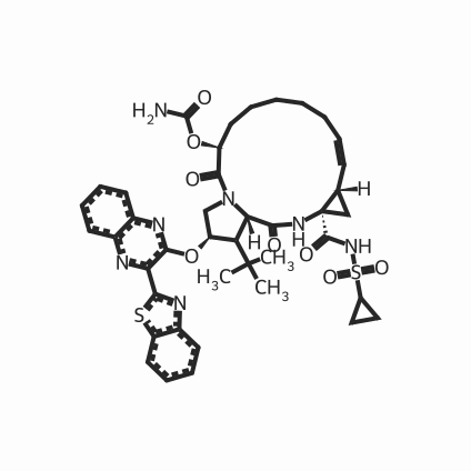 CC(C)(C)C1[C@@H](Oc2nc3ccccc3nc2-c2nc3ccccc3s2)CN2C(=O)[C@@H](OC(N)=O)CCCCCC=C[C@@H]3C[C@@]3(C(=O)NS(=O)(=O)C3CC3)NC(=O)[C@H]12